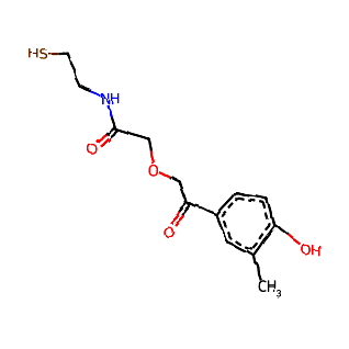 Cc1cc(C(=O)COCC(=O)NCCS)ccc1O